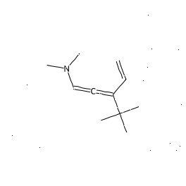 C=CC(=C=CN(C)C)C(C)(C)C